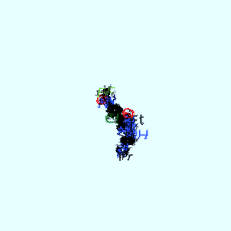 CCn1c(=O)c(-c2ccc(-c3noc(C(C)(F)F)n3)cc2Cl)cc2cnc(Nc3ccc(N4CCN(C(C)C)CC4)cc3)nc21